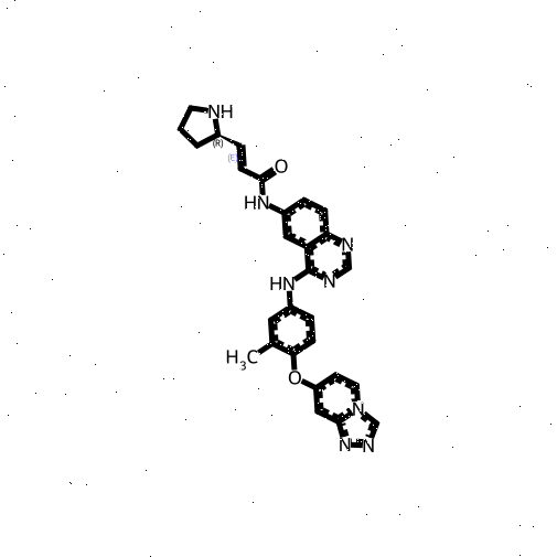 Cc1cc(Nc2ncnc3ccc(NC(=O)/C=C/[C@H]4CCCN4)cc23)ccc1Oc1ccn2cnnc2c1